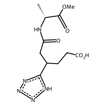 COC(=O)[C@@H](C)NC(=O)CC(CCC(=O)O)c1nnn[nH]1